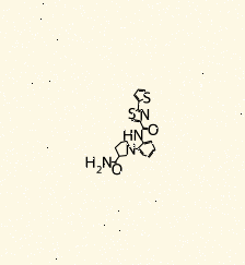 NC(=O)C1CCCN(c2ccccc2NC(=O)c2csc(-c3cccs3)n2)C1